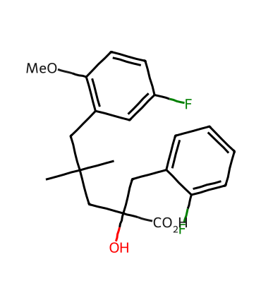 COc1ccc(F)cc1CC(C)(C)CC(O)(Cc1ccccc1F)C(=O)O